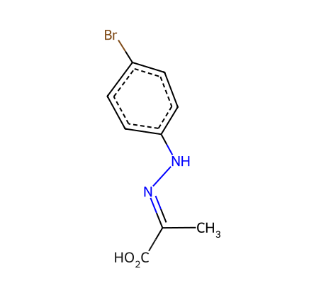 CC(=NNc1ccc(Br)cc1)C(=O)O